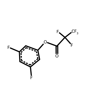 O=C(Oc1cc(F)cc(F)c1)C(F)(F)C(F)(F)F